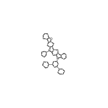 c1ccc(-c2cc(-c3ccccc3)cc(-n3c4ccccc4c4cc5c6cc7oc8ccccc8c7cc6n(-c6ccccc6)c5cc43)c2)cc1